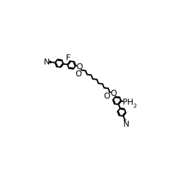 N#Cc1ccc(-c2ccc(OC(=O)CCCCCCCCCC(=O)Oc3ccc(-c4ccc(C#N)cc4)c(P)c3)cc2F)cc1